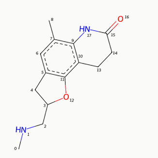 CNCC1Cc2cc(C)c3c(c2O1)CCC(=O)N3